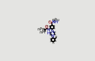 CCCCNC(=O)c1ccc(N2CCN(c3ccccc3C)CC2)c(NC(=O)C(CCC)CCC)c1